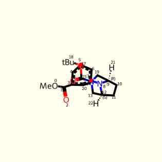 COC(=O)c1cccc(N2[C@@H]3CC[C@H]2CN(C(=O)OC(C)(C)C)C3)c1